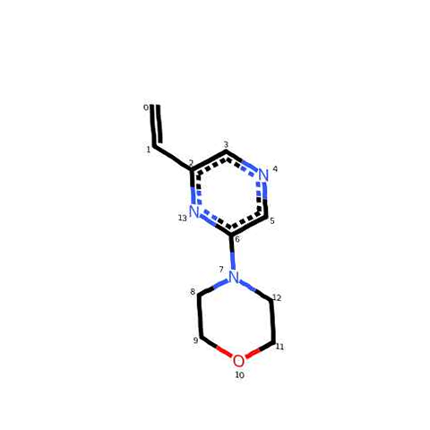 C=Cc1cncc(N2CCOCC2)n1